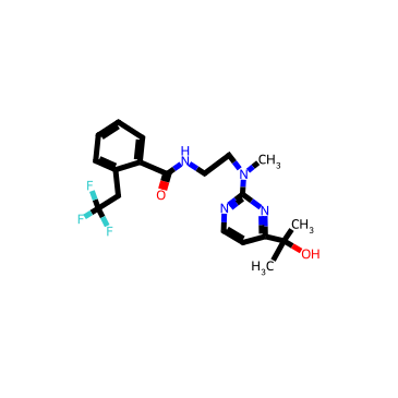 CN(CCNC(=O)c1ccccc1CC(F)(F)F)c1nccc(C(C)(C)O)n1